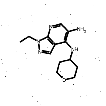 CCn1ncc2c(NC3CCOCC3)c(N)cnc21